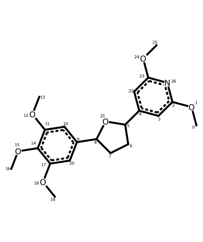 COc1cc(C2CCC(c3cc(OC)c(OC)c(OC)c3)O2)cc(OC)n1